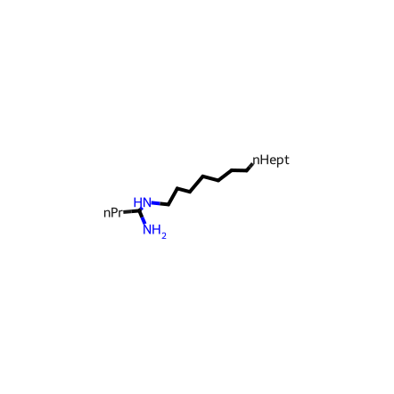 CCCCCCCCCCCCCCNC(N)CCC